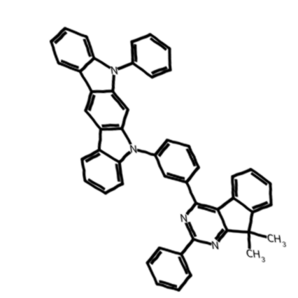 CC1(C)c2ccccc2-c2c(-c3cccc(-n4c5ccccc5c5cc6c7ccccc7n(-c7ccccc7)c6cc54)c3)nc(-c3ccccc3)nc21